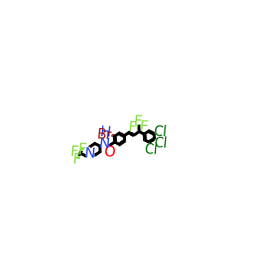 O=C(NC1CCN(CC(F)(F)F)CC1)c1ccc(C=CC(c2cc(Cl)c(Cl)c(Cl)c2)C(F)(F)F)cc1Br